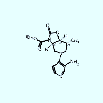 C[C@@H]1CN(c2ccncc2N)C[C@@H]2[C@H]1OC(=O)N2C(=O)OC(C)(C)C